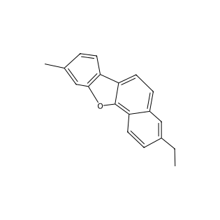 CCc1ccc2c(ccc3c4ccc(C)cc4oc23)c1